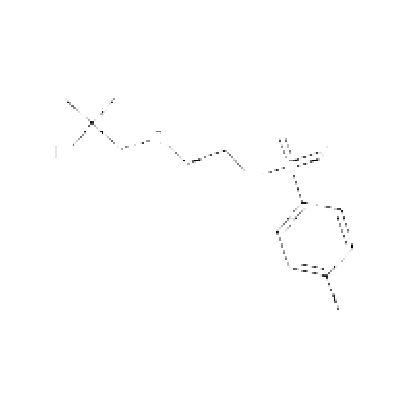 CCC(C)(C)COCCOS(=O)(=O)c1ccc(C)cc1